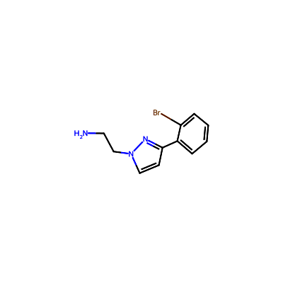 NCCn1ccc(-c2ccccc2Br)n1